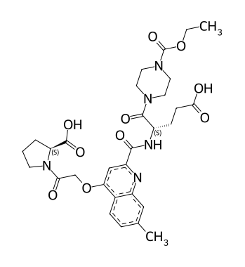 CCOC(=O)N1CCN(C(=O)[C@H](CCC(=O)O)NC(=O)c2cc(OCC(=O)N3CCC[C@H]3C(=O)O)c3ccc(C)cc3n2)CC1